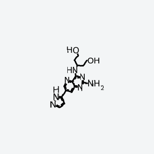 Nc1nc(NC(CCO)CCO)c2ncc(-c3ccn[nH]3)cc2n1